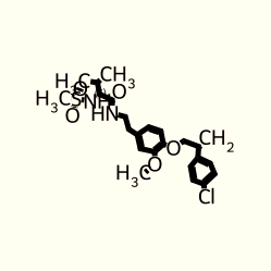 C=C(COc1ccc(CCNC(=O)[C@@H](NS(C)(=O)=O)C(C)C)cc1OC)c1ccc(Cl)cc1